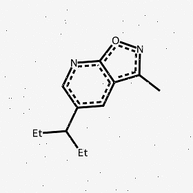 CCC(CC)c1cnc2onc(C)c2c1